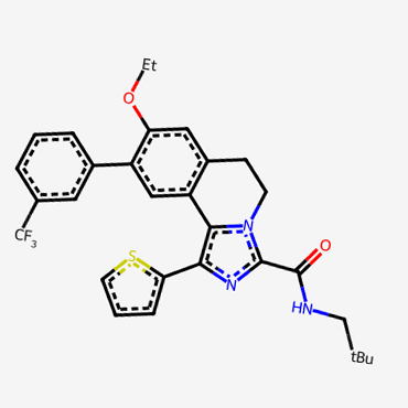 CCOc1cc2c(cc1-c1cccc(C(F)(F)F)c1)-c1c(-c3cccs3)nc(C(=O)NCC(C)(C)C)n1CC2